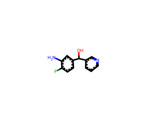 Nc1cc(C(O)c2cccnc2)ccc1F